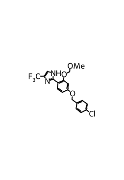 COCOc1cc(OCc2ccc(Cl)cc2)ccc1-c1nc(C(F)(F)F)c[nH]1